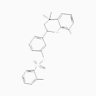 CC1(C)CC(c2cccc(NS(=O)(=O)c3ccccc3F)c2)Nc2c(Cl)cccc21